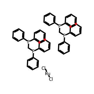 [Cl][Ru][Cl].c1ccc(P(CP(c2ccccc2)c2ccccc2)c2ccccc2)cc1.c1ccc(P(CP(c2ccccc2)c2ccccc2)c2ccccc2)cc1